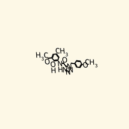 COc1ccc(Cn2nnnc2C(=O)Nc2cc(C)cc(C(C)=O)c2O)cc1